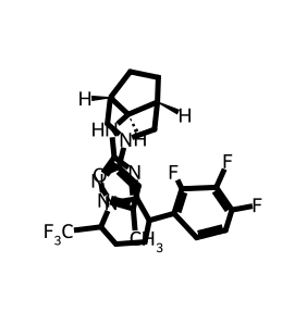 Cc1cc(N2C[C@H]3CC[C@@H](C2)[C@@H]3Nc2nc3n(n2)C(C(F)(F)F)CCC3c2ccc(F)c(F)c2F)on1